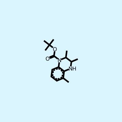 Cc1cccc2c1NC(C)C(C)N2C(=O)OC(C)(C)C